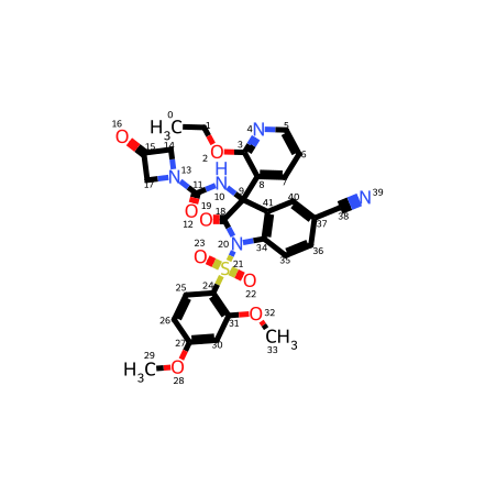 CCOc1ncccc1C1(NC(=O)N2CC(=O)C2)C(=O)N(S(=O)(=O)c2ccc(OC)cc2OC)c2ccc(C#N)cc21